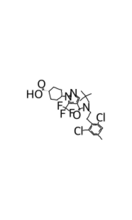 Cc1cc(Cl)c(CCN(CC(C)(C)C)C(=O)c2cnn([C@H]3CC[C@H](C(=O)O)CC3)c2C(F)(F)F)c(Cl)c1